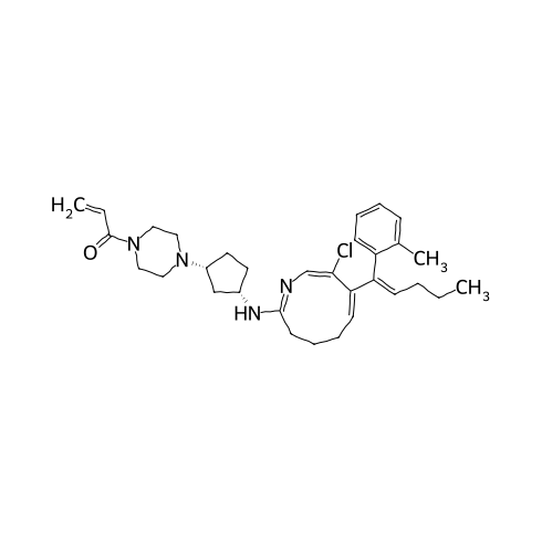 C=CC(=O)N1CCN([C@@H]2CC[C@H](N/C3=N/C=C(Cl)\C(C(=C\CCC)\c4ccccc4C)=C/CCC3)C2)CC1